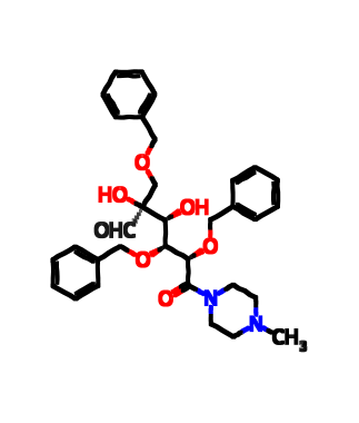 CN1CCN(C(=O)[C@H](OCc2ccccc2)[C@@H](OCc2ccccc2)[C@H](O)[C@](O)(C=O)COCc2ccccc2)CC1